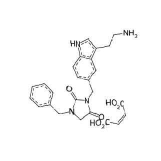 NCCc1c[nH]c2ccc(CN3C(=O)CN(Cc4ccccc4)C3=O)cc12.O=C(O)/C=C\C(=O)O